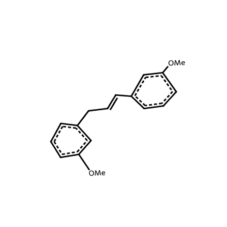 COc1cccc(/C=C/Cc2cccc(OC)c2)c1